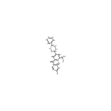 Cc1ccc(Nc2cc(N(C)C)nc(N3CCN(c4ccccn4)CC3)n2)c(Cl)c1